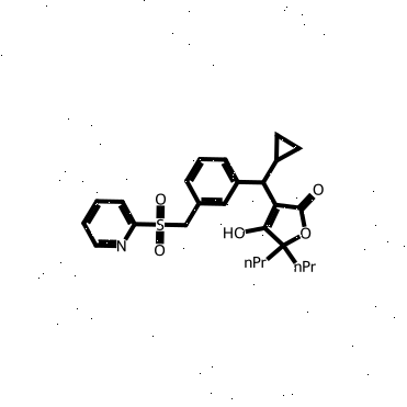 CCCC1(CCC)OC(=O)C(C(c2cccc(CS(=O)(=O)c3ccccn3)c2)C2CC2)=C1O